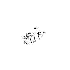 CC(=O)O.CC(=O)O.O=C([O-])[O-].[Na+].[Na+]